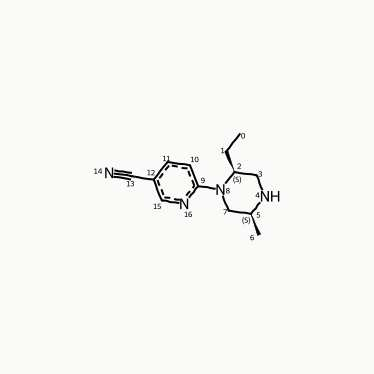 CC[C@H]1CN[C@@H](C)CN1c1ccc(C#N)cn1